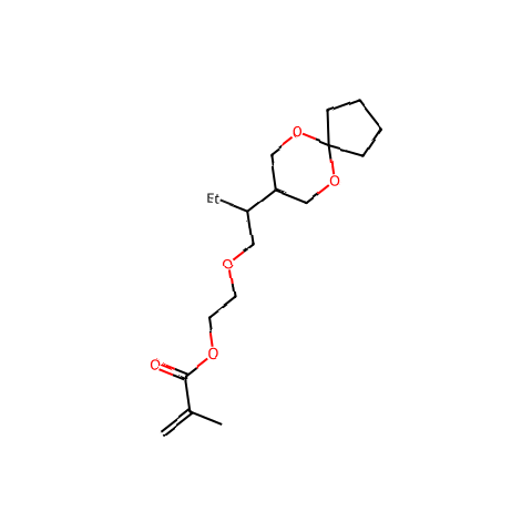 C=C(C)C(=O)OCCOCC(CC)C1COC2(CCCC2)OC1